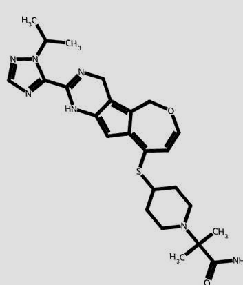 CC(C)n1ncnc1C1=NCC2=C3COC=CC(SC4CCN(C(C)(C)C(N)=O)CC4)=C3C=C2N1